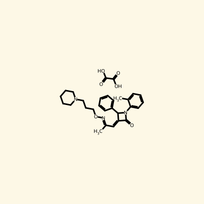 CC(C=C1C(=O)N(c2ccccc2C)C1c1ccccc1)=NOCCCN1CCCCC1.O=C(O)C(=O)O